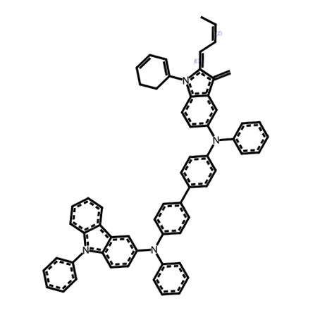 C=c1/c(=C\C=C/C)n(C2=CC=CCC2)c2ccc(N(c3ccccc3)c3ccc(-c4ccc(N(c5ccccc5)c5ccc6c(c5)c5ccccc5n6-c5ccccc5)cc4)cc3)cc12